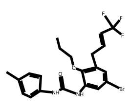 CCCOc1c(CC=CC(F)(F)F)cc(Br)cc1NC(=O)Nc1ccc(C)cc1